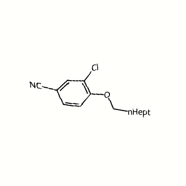 CCCCCCCCOc1ccc(C#N)cc1Cl